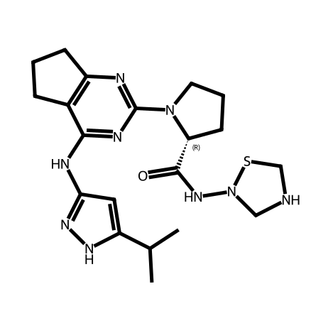 CC(C)c1cc(Nc2nc(N3CCC[C@@H]3C(=O)NN3CNCS3)nc3c2CCC3)n[nH]1